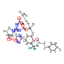 Cc1ccc(CCCOc2ccc(-c3noc([C@@H]4[C@@H](O)CCN4/C(=N/C(=O)OC(C)(C)C)NC(=O)OC(C)(C)C)n3)cc2C(F)(F)F)cc1